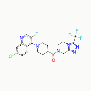 CC1CN(c2c(F)cnc3cc(Cl)ccc23)CCC1C(=O)N1CCn2c(nnc2C(F)(F)F)C1